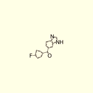 O=C(c1ccc(F)cc1)c1ccc2nc[nH]c2c1